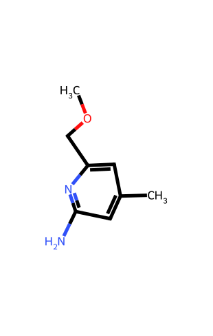 COCc1cc(C)cc(N)n1